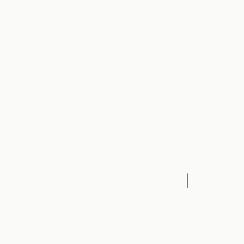 IC1=C=C=C=CC1